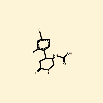 O=C(O)NC1CNC(=O)CC1c1ccc(F)cc1F